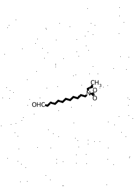 CC1CN(CCCCCCCCCCCC=O)C(=O)O1